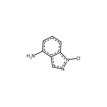 Nc1cccc2c1cnn2Cl